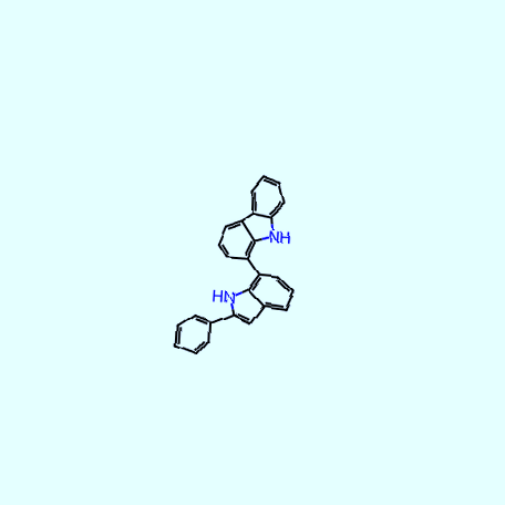 c1ccc(-c2cc3cccc(-c4cccc5c4[nH]c4ccccc45)c3[nH]2)cc1